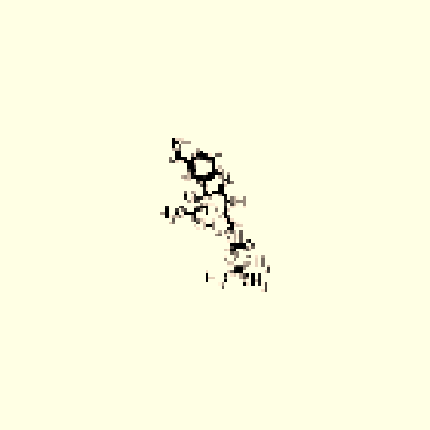 CC(C)S(=O)(=O)n1c(NCCNC(=O)OC(C)(C)C)nc2ccc(C=N)cc21